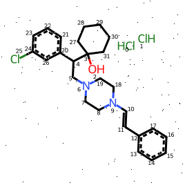 Cl.Cl.OC1(C(CN2CCN(C=Cc3ccccc3)CC2)c2cccc(Cl)c2)CCCCC1